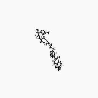 CCC(C)(Oc1ccc(OCCc2cc(-c3ccc(C(F)(F)F)cc3)no2)cc1)C(=O)O